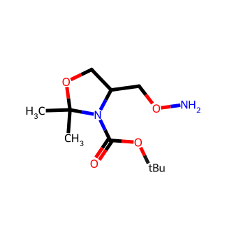 CC(C)(C)OC(=O)N1C(CON)COC1(C)C